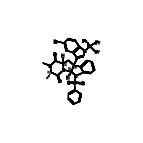 CC(C)[Si](C(C)C)(C(C)C)n1cc([C@]23C[C@H]4C(=O)N(C)[C@@H](C)C(=O)N4[C@H]2N(S(=O)(=O)c2ccccc2)c2ccccc23)c2cc(Br)ccc21